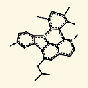 Cc1ccc2c(c1)c1c(CC(C)C)cc3cc[n+](C)c4c5c(C)c(C)cc(C)c5n2c1c34